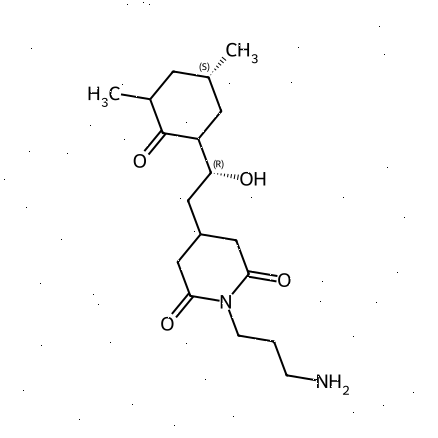 CC1C[C@H](C)CC([C@H](O)CC2CC(=O)N(CCCN)C(=O)C2)C1=O